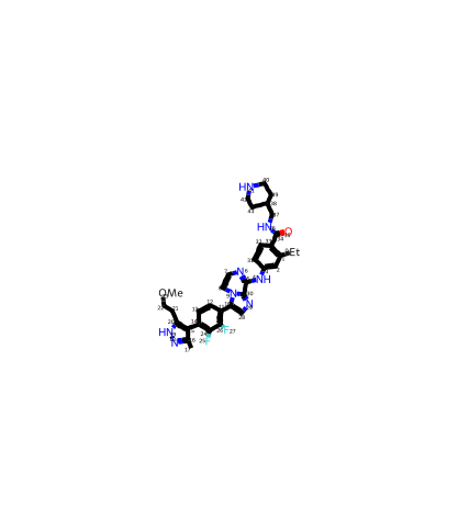 CCc1cc(Nc2nccn3c(-c4ccc(-c5c(C)n[nH]c5CCOC)c(F)c4F)cnc23)ccc1C(=O)NCC1CCNCC1